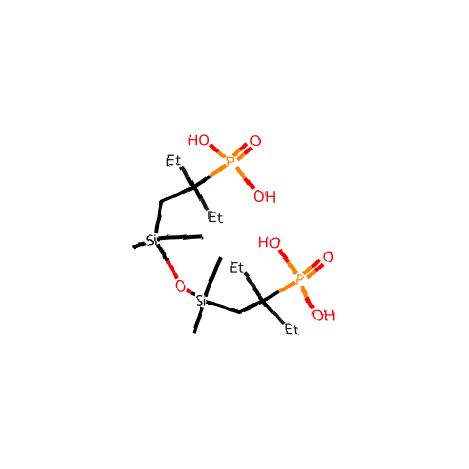 CCC(CC)(C[Si](C)(C)O[Si](C)(C)CC(CC)(CC)P(=O)(O)O)P(=O)(O)O